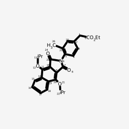 CCOC(=O)Cc1ccc(N2C(=O)c3c(c(OC(C)C)c4ccccc4c3OC(C)C)C2=O)c(C)c1